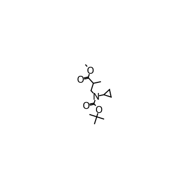 COC(=O)C(C)CN(C(=O)OC(C)(C)C)C1CC1